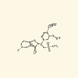 CCOc1cc([C@@H](CS(C)(=O)=O)n2sc3ccc(F)cc3c2=O)ccc1OC